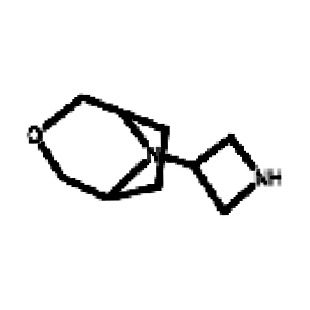 C1CC2COCC1N2C1CNC1